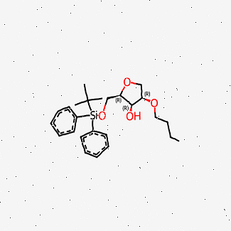 CCCCO[C@@H]1CO[C@H](CO[Si](c2ccccc2)(c2ccccc2)C(C)(C)C)[C@@H]1O